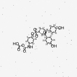 O=C(O)OC(=O)Nc1ccc(OS(=O)(=O)C2CC3OC2C(c2ccc(O)cc2)=C3c2ccc(O)cc2)cc1